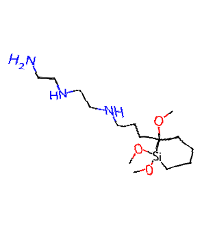 COC1(CCCNCCNCCN)CCCC[Si]1(OC)OC